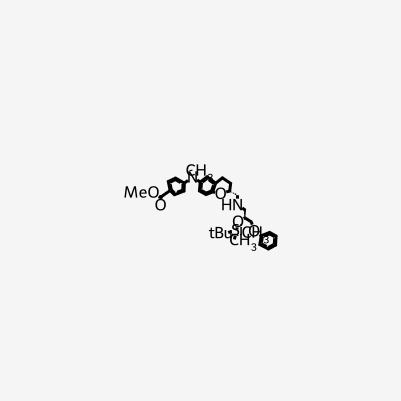 COC(=O)c1ccc(N(C)c2ccc3c(c2)CC[C@H](CNC[C@@H](COc2ccccc2)O[Si](C)(C)C(C)(C)C)O3)cc1